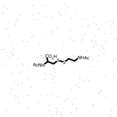 CC(=O)NCCSSCC(NC(C)=O)C(=O)O